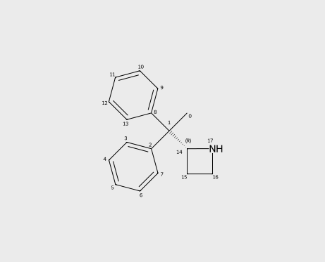 CC(c1ccccc1)(c1ccccc1)[C@H]1CCN1